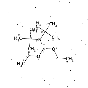 CCO[SiH](OCC)N(C(C)(C)C)C(C)(C)C